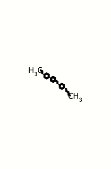 CCCCC[C@H]1CC[C@H](CCc2ccc([C@H]3CC[C@H](CCC)CC3)cc2)CC1